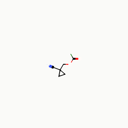 N#CC1(COC(=O)Cl)CC1